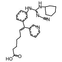 N#CN=C(Nc1cccc(C(=CCCCCC(=O)O)c2cccnc2)c1)NC1CCCCC1